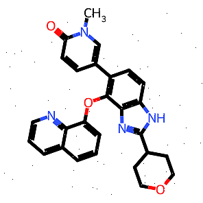 Cn1cc(-c2ccc3[nH]c(C4CCOCC4)nc3c2Oc2cccc3cccnc23)ccc1=O